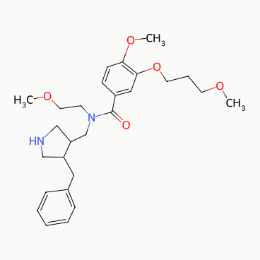 COCCCOc1cc(C(=O)N(CCOC)CC2CNCC2Cc2ccccc2)ccc1OC